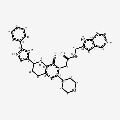 O=C(Cn1c(N2CCOCC2)nc2c(c1=O)NC(c1cnc(-c3ccccc3)o1)CC2)NCc1cc2cnccc2[nH]1